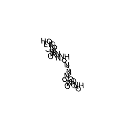 C=CCn1c(=O)c2cnc(Nc3ccc(N4CC(CN5CCN(c6cccc7c6C(=O)N(C6CCC(=O)NC6=O)C7=O)CC5)C4)cc3)nc2n1-c1ccc2c(n1)[C@@](O)(CC)CC2